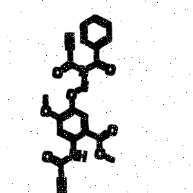 C#CC(=O)Nc1cc(OC)c(OSN(C(=O)C#C)C(=O)c2ccccc2)cc1C(=O)OC